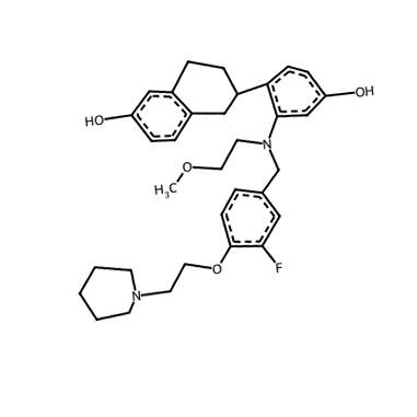 COCCN(Cc1ccc(OCCN2CCCCC2)c(F)c1)c1cc(O)ccc1C1CCc2cc(O)ccc2C1